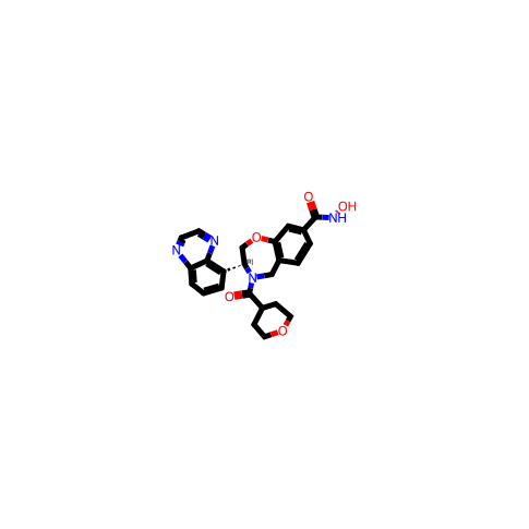 O=C(NO)c1ccc2c(c1)OC[C@@H](c1cccc3nccnc13)N(C(=O)C1CCOCC1)C2